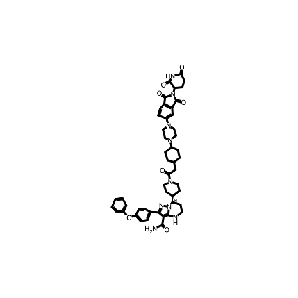 NC(=O)c1c(-c2ccc(Oc3ccccc3)cc2)nn2c1NCC[C@@H]2C1CCN(C(=O)CC2CCC(N3CCN(c4ccc5c(c4)C(=O)N(C4CCC(=O)NC4=O)C5=O)CC3)CC2)CC1